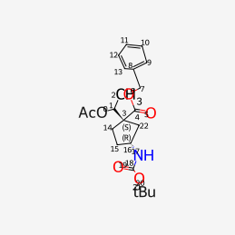 CC(=O)OC(C)[C@]1(C(=O)OCc2ccccc2)CC[C@@H](NC(=O)OC(C)(C)C)C1